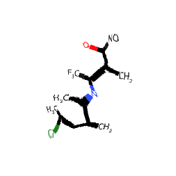 C=C(/C=C(\C)Cl)/C(C)=N/C(=C(\C)C(=O)N=O)C(F)(F)F